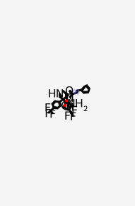 NC(=O)C1(NC(=O)/C=C/c2ccccc2)CCNCC1(c1ccc(C(F)(F)F)cc1)c1ccc(C(F)(F)F)cc1